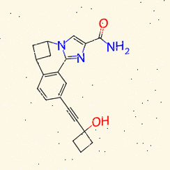 NC(=O)c1cn2c(n1)-c1cc(C#CC3(O)CCC3)ccc1C1CC2C1